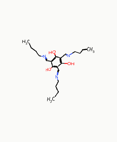 CCCC/N=C/c1c(O)c(/C=N/CCCC)c(O)c(/C=N/CCCC)c1O